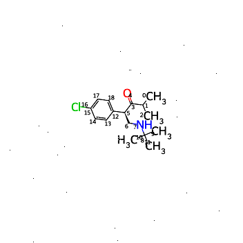 CC(C)C(=O)[C@@H](CNC(C)(C)C)c1ccc(Cl)cc1